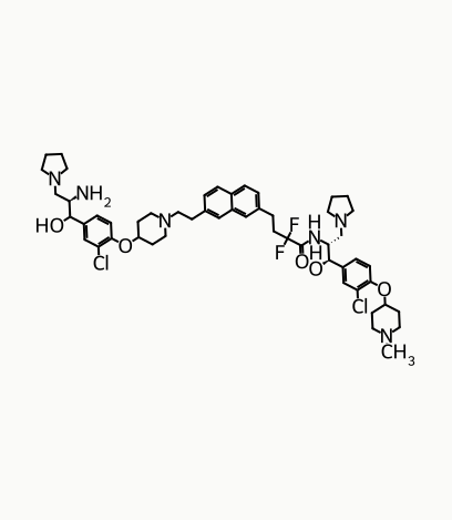 CN1CCC(Oc2ccc([C@@H](O)[C@@H](CN3CCCC3)NC(=O)C(F)(F)CCc3ccc4ccc(CCN5CCC(Oc6ccc(C(O)[C@H](N)CN7CCCC7)cc6Cl)CC5)cc4c3)cc2Cl)CC1